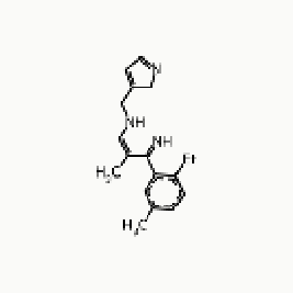 CCc1ccc(C)cc1C(=N)/C(C)=C\NCC1=CC=NC1